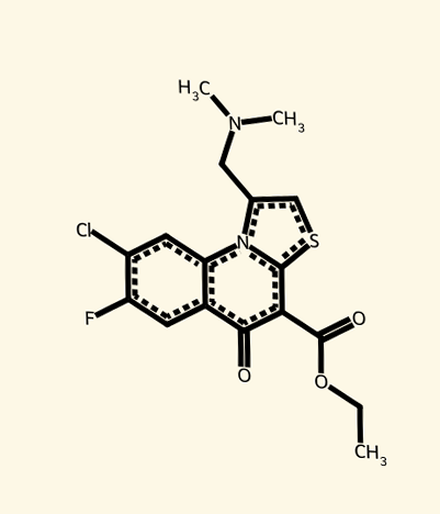 CCOC(=O)c1c(=O)c2cc(F)c(Cl)cc2n2c(CN(C)C)csc12